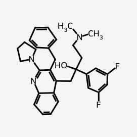 CN(C)CCC(O)(Cc1c(Cc2ccccc2)c(N2CCCC2)nc2ccccc12)c1cc(F)cc(F)c1